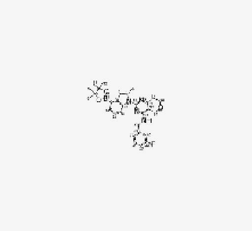 CC1Cc2c(B3OC(C)(C)C(C)(C)O3)cccc2N1c1nc2c(c(NCc3cccc(F)c3)n1)COCC2